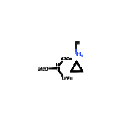 C1CC1.CC(C)(C)N.CO[SiH](OC)OC